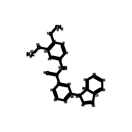 COc1ccc(NC(=O)c2cccc(-n3cnc4ccccc43)c2)cc1OC